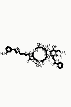 CCC(C(O)[C@@H](OCCNC(=O)c1ccccn1)O[C@@H]1[C@@H](C)C(=O)[C@@H](C)C(=O)O[C@H](CC)[C@@]2(C)OC(=O)N(CCCCn3cc(-c4cccc(N)c4)nn3)[C@@H]2[C@@H](C)NC[C@H](C)C[C@@]1(C)OC)N(C)C